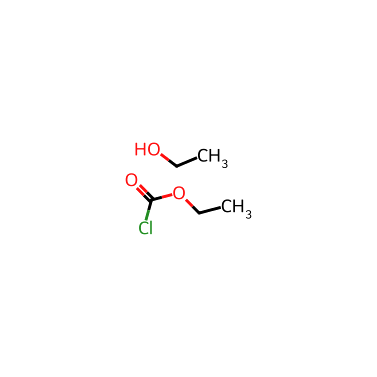 CCO.CCOC(=O)Cl